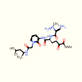 CCCC(CC)CC(C)NC(=O)Cn1cccc(NC(=O)[C@H](CCC(=O)C(=O)NC)NC(=O)/C(=C/N)N(C)N)c1=O